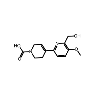 COc1ccc(C2=CCN(C(=O)O)CC2)nc1CO